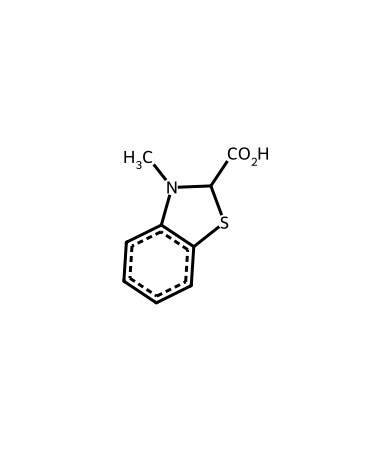 CN1c2ccccc2SC1C(=O)O